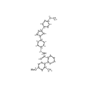 COc1ccc(-c2ccccc2C(=O)NCc2ccc(-c3ncn(-c4ccc(OC(F)(F)F)cc4)n3)cc2)c(C)c1